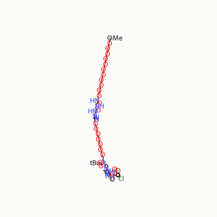 COCCOCCOCCOCCOCCOCCOCCOCCOCCOCCOCCOCCNC(=O)CNCC(=O)NCCn1cc(COCCOCCOCCOCCOCCOCCOCCCCN(C(=O)OC(C)(C)C)[C@H]2CCN(c3nc4cc(C5CCCCN5C(=O)c5cc(Cl)ccc5NS(C)(=O)=O)nn4cc3C)C2)nn1